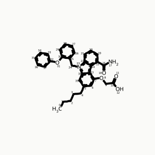 CCCCCc1cc(OCC(=O)O)c2c3c(C(N)=O)cccc3n(Cc3ccccc3Oc3ccccc3)c2c1